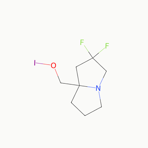 FC1(F)CN2CCCC2(COI)C1